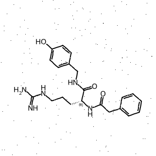 N=C(N)NCCC[C@@H](NC(=O)Cc1ccccc1)C(=O)NCc1ccc(O)cc1